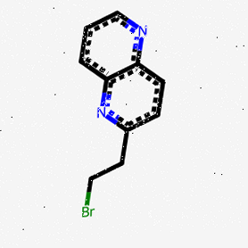 BrCCc1ccc2ncccc2n1